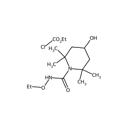 CCOC(=O)Cl.CCONC(=O)N1C(C)(C)CC(O)CC1(C)C